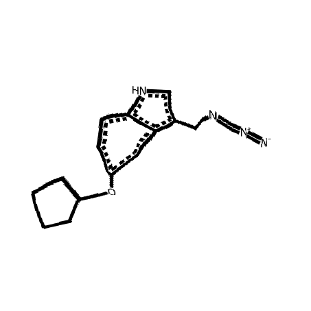 [N-]=[N+]=NCc1c[nH]c2ccc(OC3CCCC3)cc12